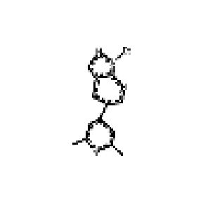 CCn1ncc2cc(-c3cc(C)nc(C)c3)cnc21